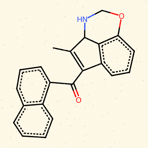 CC1=C(C(=O)c2cccc3ccccc23)c2cccc3c2C1NCO3